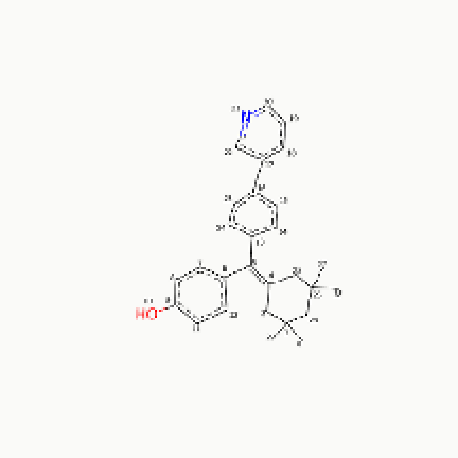 CC1(C)CC(=C(c2ccc(O)cc2)c2ccc(-c3cccnc3)cc2)CC(C)(C)C1